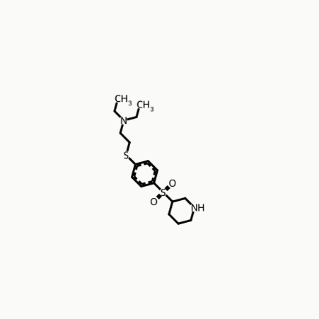 CCN(CC)CCSc1ccc(S(=O)(=O)C2CCCNC2)cc1